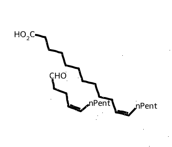 CCCCC/C=C\CCC=O.CCCCC/C=C\CCCCCCCCCC(=O)O